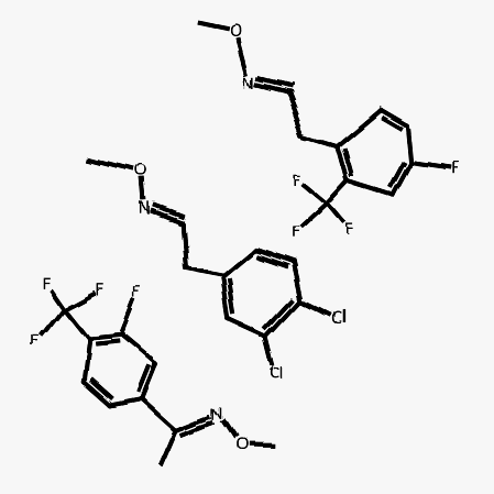 CON=C(C)c1ccc(C(F)(F)F)c(F)c1.CON=CCc1ccc(Cl)c(Cl)c1.CON=CCc1ccc(F)cc1C(F)(F)F